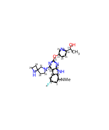 CNc1cc(F)cc2c1[nH]c1nc(Oc3ccc(C(C)O)nc3)nc(N3CCC4(CCN4)C3)c12